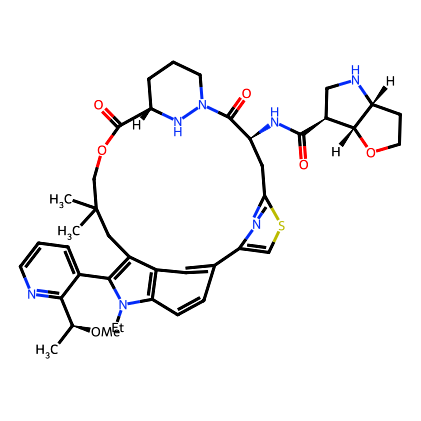 CCn1c(-c2cccnc2[C@H](C)OC)c2c3cc(ccc31)-c1csc(n1)C[C@H](NC(=O)[C@H]1CN[C@@H]3CCO[C@H]13)C(=O)N1CCC[C@H](N1)C(=O)OCC(C)(C)C2